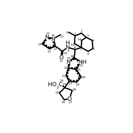 CC1CC2CCCC(C(NC(=O)c3ccnn3C)c3nc4cc(C5(C(=O)O)CCOC5)ccc4[nH]3)(C1)C2